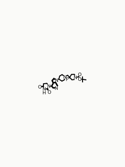 CC(C)(C)OC(=O)N1CCC(F)(CN2CCC(n3ccc4c(N5CCC(=O)NC5=O)cncc43)CC2)CC1